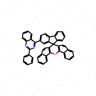 c1ccc(-c2nc(-c3ccc4c(c3)C3(c5ccccc5-4)c4ccc5ccccc5c4Oc4c3ccc3ccccc43)c3ccccc3n2)cc1